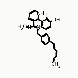 C=C/C=C\C=C\c1ccc(C/N=C(\N=C)C2=CC=CNC2c2cccc(O)c2I)cc1